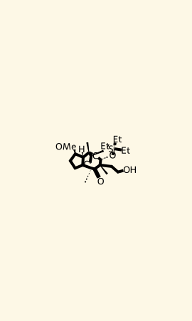 CC[Si](CC)(CC)O[C@H]1C[C@]2(C)[C@H](C)CC[C@]3(CC[C@@H](OC)[C@@H]23)[C@@H](C)C(=O)[C@@]1(C)CCO